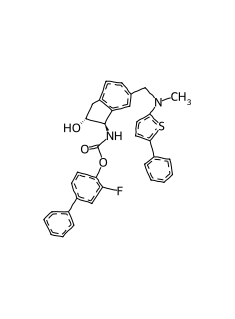 CN(Cc1ccc2c(c1)[C@@H](NC(=O)Oc1ccc(-c3ccccc3)cc1F)[C@H](O)C2)c1ccc(-c2ccccc2)s1